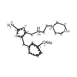 COc1cccc(Cc2sc(N)nc2CNCCN2CCOCC2)c1